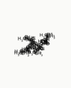 Cc1cc(C[C@H](NC(=O)OC(=O)N(Cc2ccccc2)[C@@H](Cc2ccc([C@@H]3CC(=O)N(COCC[Si](C)(C)C)S3(O)O)c(C)c2)c2nc3ccccc3n2COCC[Si](C)(C)C)c2nc3ccccc3n2COCC[Si](C)(C)C)ccc1[C@H]1CC(=O)N(COCC[Si](C)(C)C)S1(O)O